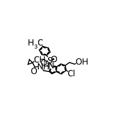 Cc1ccc(S(=O)(=O)n2c(CNC(=O)C3(C)CC3)cc3cc(Cl)c(CCO)cc32)cc1